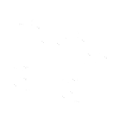 Cc1cc(-c2ccncc2N2CCCC(N(C)C(=O)OC(C)(C)C)C2)ccc1CNC(=O)c1nc(C(C)(C)C)no1.Cc1cc(-c2ccncc2N2CCCC(N(C)C(=O)OC(C)(C)C)C2)ccc1CNC(=O)c1nc(C(C)(C)C)no1